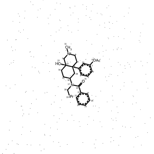 CC(=O)Oc1cccc(C23CCN(C)CC2(O)CCC(N(CC(C)C)C(=O)c2ccccc2)C3)c1